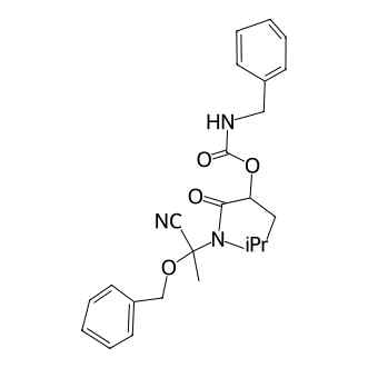 CC(C)CC(OC(=O)NCc1ccccc1)C(=O)N(C)C(C)(C#N)OCc1ccccc1